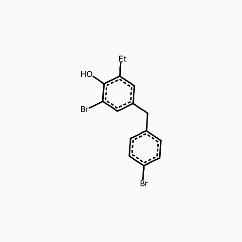 CCc1cc(Cc2ccc(Br)cc2)cc(Br)c1O